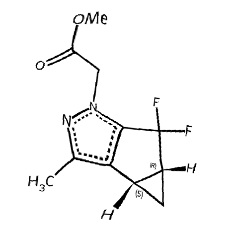 COC(=O)Cn1nc(C)c2c1C(F)(F)[C@@H]1C[C@H]21